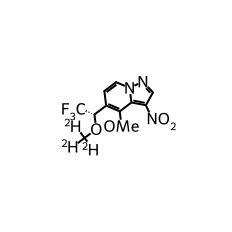 [2H]C([2H])([2H])O[C@@H](c1ccn2ncc([N+](=O)[O-])c2c1OC)C(F)(F)F